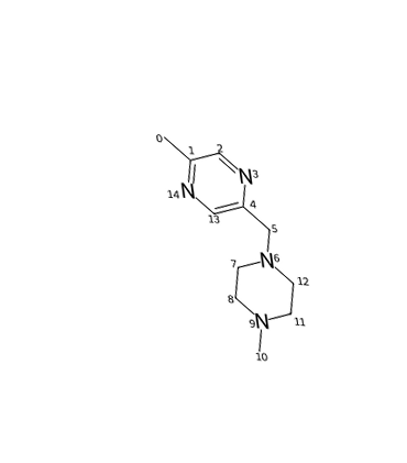 Cc1cnc(CN2CCN(C)CC2)cn1